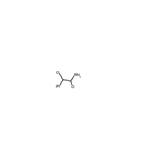 CC(C)C(Cl)[CH]([AlH2])Cl